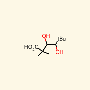 CC(C)(C)C(O)C(O)C(C)(C)C(=O)O